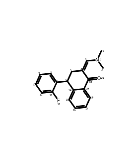 CN(C)C=C1CC(c2ccccc2F)c2ccccc2C1=O